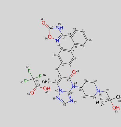 CCCc1c(Cc2ccc(-c3ccccc3-c3noc(=O)[nH]3)cc2)c(=O)n(C2CCN(CC(C)(C)O)CC2)c2ncnn12.O=C(O)C(F)(F)F